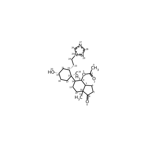 CC(=O)OC1C2CCC(=O)C2(C)CCC1[C@@]1(C)CC[C@H](O)C[C@@H]1CCn1cncn1